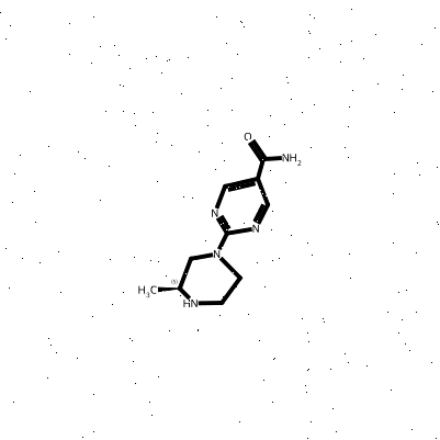 C[C@H]1CN(c2ncc(C(N)=O)cn2)CCN1